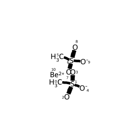 CS(=O)(=O)[O-].CS(=O)(=O)[O-].[Be+2]